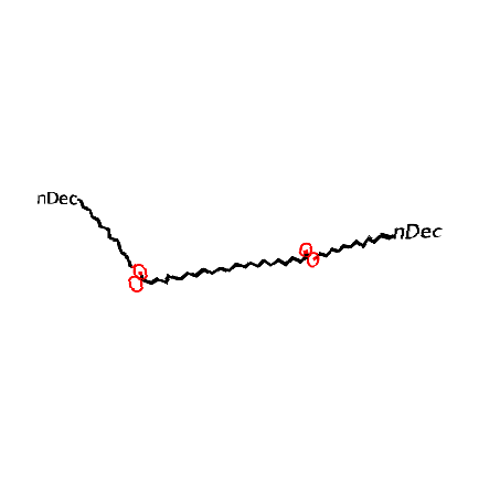 CCCCCCCCCCCCCCCCCCCCCCOC(=O)CCCCCCCCCCCCCCCCCCCCCC(=O)OCCCCCCCCCCCCCCCCCCCCCC